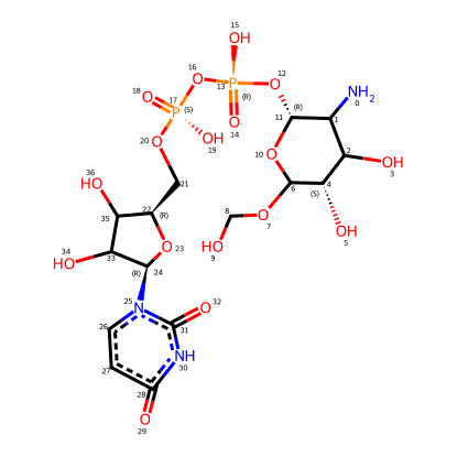 NC1C(O)[C@H](O)C(OCO)O[C@@H]1O[P@@](=O)(O)O[P@@](=O)(O)OC[C@H]1O[C@@H](n2ccc(=O)[nH]c2=O)C(O)C1O